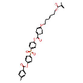 C=C(C)C(=O)OCCCCCCOc1ccc(C(=O)Oc2ccc(S(=O)(=O)c3ccc(OC(=O)c4ccc(C)cc4)cc3)cc2)cc1